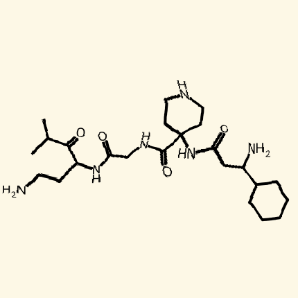 CC(C)C(=O)C(CCN)NC(=O)CNC(=O)C1(NC(=O)CC(N)C2CCCCC2)CCNCC1